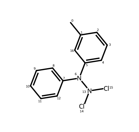 Cc1cccc(N(c2ccccc2)N(Cl)Cl)c1